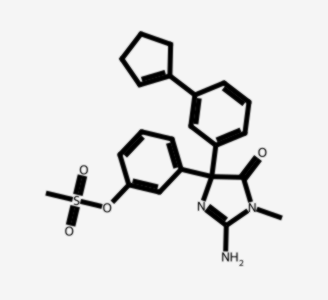 CN1C(=O)C(c2cccc(OS(C)(=O)=O)c2)(c2cccc(C3=CCCC3)c2)N=C1N